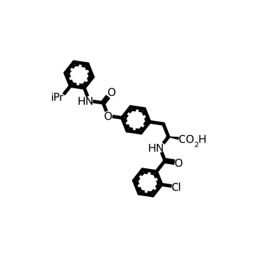 CC(C)c1ccccc1NC(=O)Oc1ccc(C[C@H](NC(=O)c2ccccc2Cl)C(=O)O)cc1